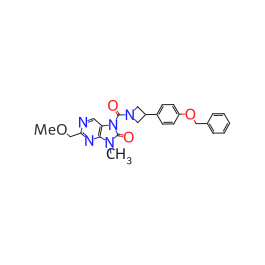 COCc1ncc2c(n1)n(C)c(=O)n2C(=O)N1CC(c2ccc(OCc3ccccc3)cc2)C1